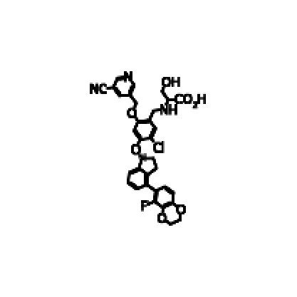 N#Cc1cncc(COc2cc(O[C@H]3CCc4c(-c5ccc6c(c5F)OCCO6)cccc43)c(Cl)cc2CNC(CO)C(=O)O)c1